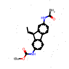 BC(=O)Nc1ccc2c(c1)/C(=C\C)c1cc(NC(=O)OC(C)(C)C)ccc1-2